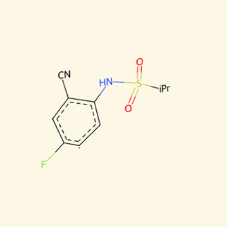 CC(C)S(=O)(=O)Nc1c[c]c(F)cc1C#N